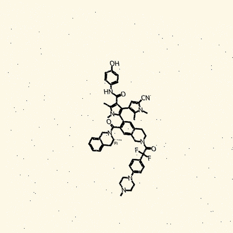 Cc1c(-c2c(C(=O)Nc3ccc(O)cc3)c(C)n(C)c2-c2cc3c(cc2C(=O)N2Cc4ccccc4C[C@H]2C)CN(C(=O)C(F)(F)c2ccc(N4CCN(C)CC4)cc2)CC3)cc(C#N)n1C